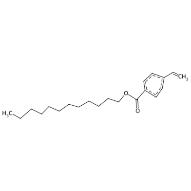 C=Cc1ccc(C(=O)OCCCCCCCCCCCC)cc1